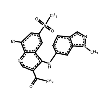 CCc1cc(S(C)(=O)=O)cc2c(Nc3ccc4cnn(C)c4c3)c(C(N)=O)cnc12